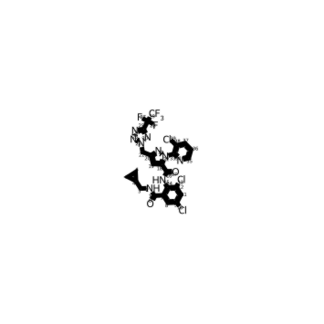 O=C(NCC1CC1)c1cc(Cl)cc(Cl)c1NC(=O)c1cc(Cn2nnc(C(F)(F)C(F)(F)F)n2)nn1-c1ncccc1Cl